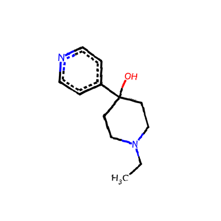 CCN1CCC(O)(c2ccncc2)CC1